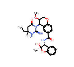 CC[C@]1(C)CC(=O)N(C2c3cc(C(=O)N[C@@H]4c5ccccc5O[C@@]4(C)O)ccc3OCC2OC)C(=N)N1